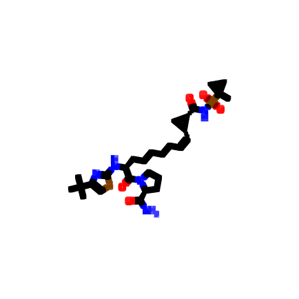 CC(C)(C)c1csc(N[C@@H](CCCCC/C=C\[C@@H]2C[C@@H]2C(=O)NS(=O)(=O)C2(C)CC2)C(=O)N2CCC[C@H]2C(N)=O)n1